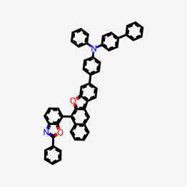 c1ccc(-c2ccc(N(c3ccccc3)c3ccc(-c4ccc5c(c4)oc4c(-c6cccc7nc(-c8ccccc8)oc67)c6ccccc6cc45)cc3)cc2)cc1